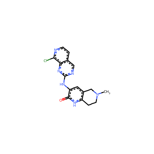 CN1CCc2[nH]c(=O)c(Nc3ncc4ccnc(Cl)c4n3)cc2C1